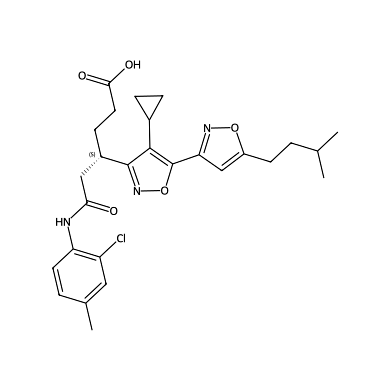 Cc1ccc(NC(=O)C[C@H](CCC(=O)O)c2noc(-c3cc(CCC(C)C)on3)c2C2CC2)c(Cl)c1